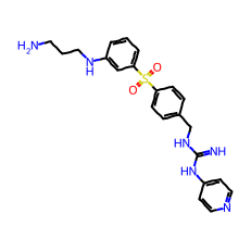 N=C(NCc1ccc(S(=O)(=O)c2cccc(NCCCN)c2)cc1)Nc1ccncc1